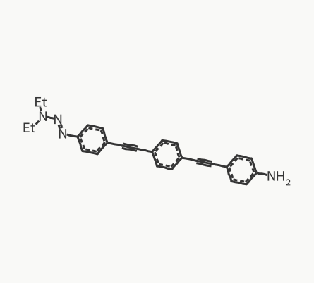 CCN(CC)/N=N/c1ccc(C#Cc2ccc(C#Cc3ccc(N)cc3)cc2)cc1